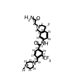 C[C@H]1CN(CC(N)=O)Cc2cc(NC(=O)c3ccc(CN4CCN(C)CC4)c(C(F)(F)F)c3)ccc21